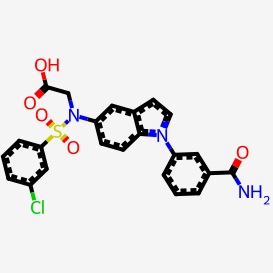 NC(=O)c1cccc(-n2ccc3cc(N(CC(=O)O)S(=O)(=O)c4cccc(Cl)c4)ccc32)c1